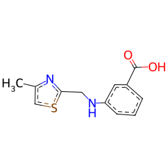 Cc1csc(CNc2cccc(C(=O)O)c2)n1